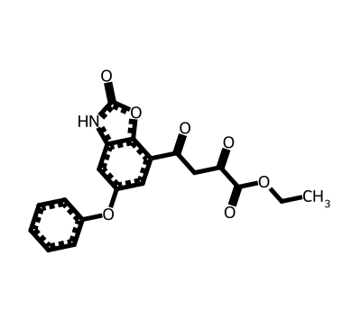 CCOC(=O)C(=O)CC(=O)c1cc(Oc2ccccc2)cc2[nH]c(=O)oc12